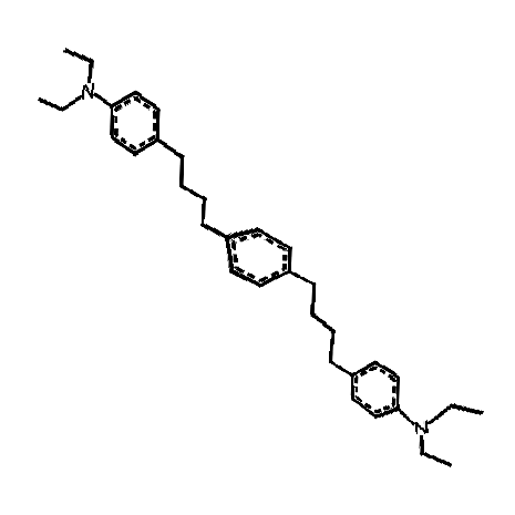 CCN(CC)c1ccc(CCCCc2ccc(CCCCc3ccc(N(CC)CC)cc3)cc2)cc1